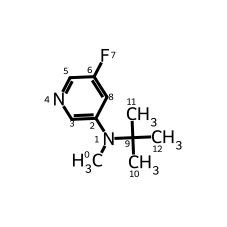 CN(c1cncc(F)c1)C(C)(C)C